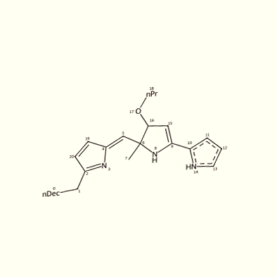 CCCCCCCCCCCC1=NC(=CC2(C)NC(c3ccc[nH]3)=CC2OCCC)C=C1